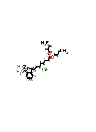 CCCCOC(CCCCCCCCc1ccccc1[P+](C)(C)C)OCCCC.[Cl-]